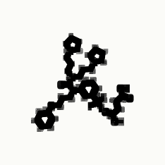 O=C(N(CCCN1CCCC1)CCCN1CCCC1)N(CCCOc1ccccc1)c1cccc(C(F)(F)F)c1.O=C(O)C=CC(=O)O